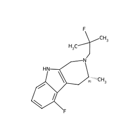 C[C@@H]1Cc2c([nH]c3cccc(F)c23)CN1CC(C)(C)F